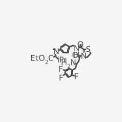 CCOC(=O)C(C(C)C)N(C)c1ccc(CNC(=O)C2SCCN2C(=O)C[C@H](N)Cc2cc(F)c(F)cc2F)cc1